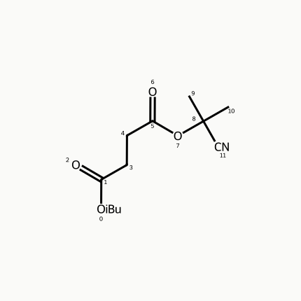 CC(C)COC(=O)CCC(=O)OC(C)(C)C#N